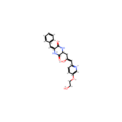 O=C1NC(CC(O)=Cc2ccc(OCCO)cn2)C(=O)NC1=Cc1ccccc1